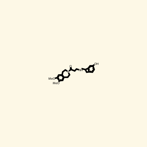 COc1cc2c(cc1OC)CCN(C(=O)CCNCC1Cc3ccc(O)cc31)CC2